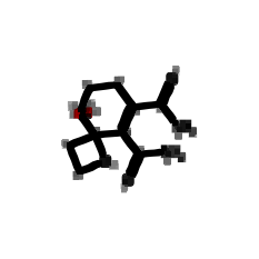 NC(=O)C1=C(C(N)=O)C2(CCO2)C2(CCO2)CC1